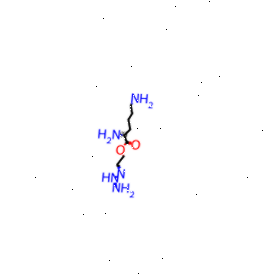 NCCCC[C@H](N)C(=O)OCC=NNN